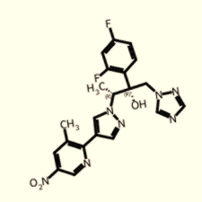 Cc1cc([N+](=O)[O-])cnc1-c1cnn([C@H](C)[C@](O)(Cn2cncn2)c2ccc(F)cc2F)c1